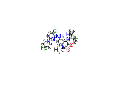 Cn1c(=O)c2c(c3cc(Nc4nc(N5CCC(F)(F)CC5)ncc4Cl)ccc31)N[C@@H](C1CC1)C(F)(F)CO2